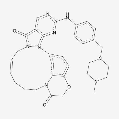 CN1CCN(Cc2ccc(Nc3ncc4c(=O)n5n(c4n3)-c3ccc4c(c3)N(CCC/C=C\C5)C(=O)CO4)cc2)CC1